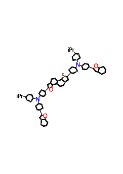 CC(C)c1ccc(N(c2ccc(-c3cc4ccccc4o3)cc2)c2ccc(-c3cc4ccc5c(ccc6cc(-c7ccc(N(c8ccc(-c9cc%10ccccc%10o9)cc8)c8ccc(C(C)C)cc8)cc7)sc65)c4o3)cc2)cc1